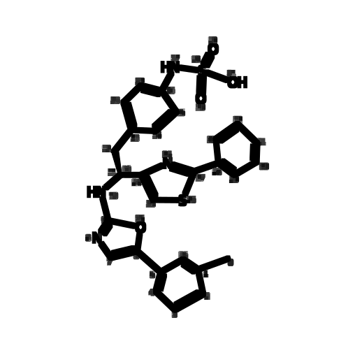 Cc1cccc(-c2cnc(N[C@@H](Cc3ccc(NS(=O)(=O)O)cc3)c3csc(-c4ccccc4)n3)o2)c1